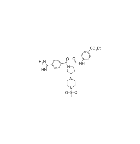 CCOC(=O)c1ccc(NC(=O)[C@@H]2C[C@H](N3CCN(S(C)(=O)=O)CC3)CN2C(=O)c2ccc(C(=N)N)cc2)cc1